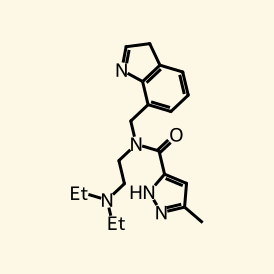 CCN(CC)CCN(Cc1cccc2c1N=CC2)C(=O)c1cc(C)n[nH]1